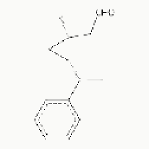 CC(c1ccccc1)[C@@H]1C[C@@]1(C)CC=O